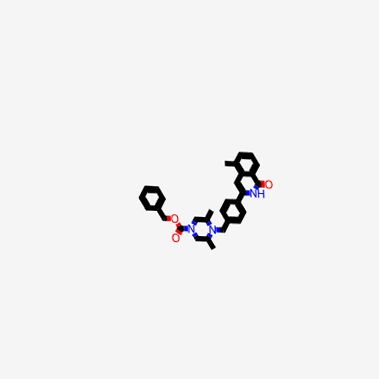 Cc1cccc2c(=O)[nH]c(-c3ccc(CN4C(C)CN(C(=O)OCc5ccccc5)CC4C)cc3)cc12